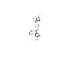 C[C@@H]1C[C@@H](O)c2ncnc(N3CCN(C(=O)[C@@H](CN4CCC(O)CC4)c4ccc(OC(F)(F)F)c(F)c4)CC3)c21